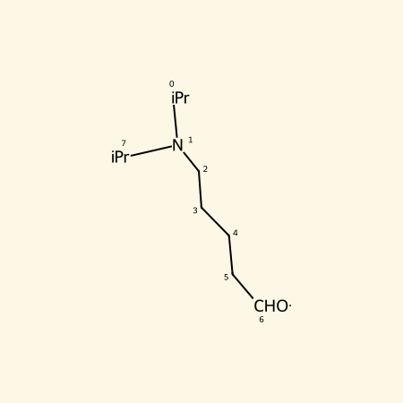 CC(C)N(CCCC[C]=O)C(C)C